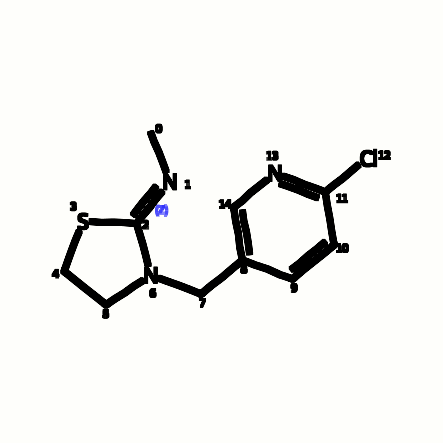 C/N=C1\SCCN1Cc1ccc(Cl)nc1